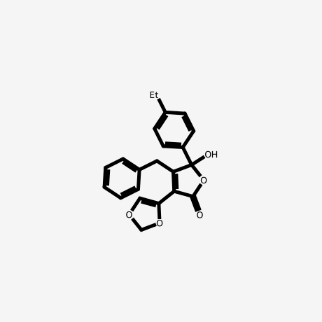 CCc1ccc(C2(O)OC(=O)C(C3=COCO3)=C2Cc2ccccc2)cc1